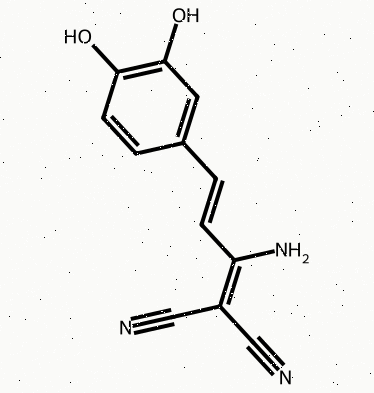 N#CC(C#N)=C(N)C=Cc1ccc(O)c(O)c1